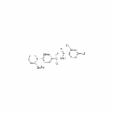 CSc1ccccc1-c1ccc(S(=O)(=O)NC(=O)c2ccc(Cl)cc2Cl)cn1